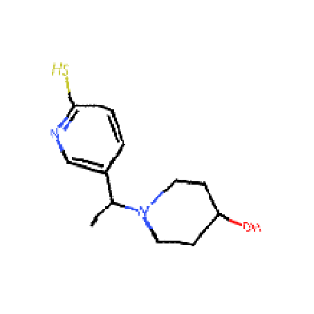 CC(c1ccc(S)nc1)N1CCC(O)CC1